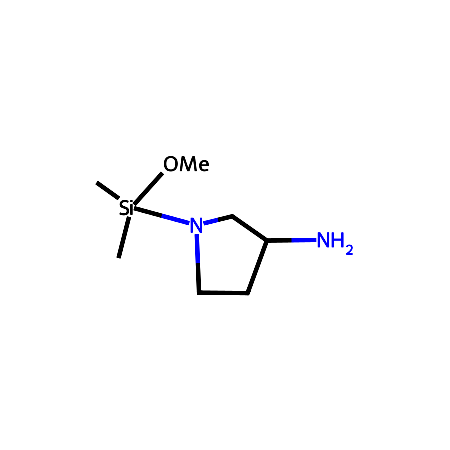 CO[Si](C)(C)N1CCC(N)C1